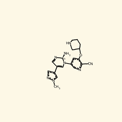 Cn1cc(C2=CN(c3cnc(C#N)c(OC4CCCNC4)c3)[C@H](N)N=C2)cn1